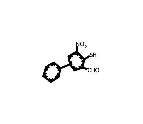 O=Cc1cc(-c2ccccc2)cc([N+](=O)[O-])c1S